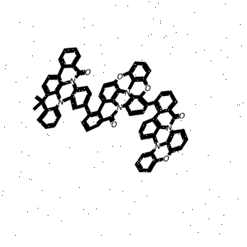 CC1(C)c2ccccc2N2c3cc(-c4cccc5c(=O)n6c7ccc(-c8cccc9c(=O)n%10c%11cccc%12oc%13ccccc%13n(c%13cccc(c89)c%13%10)-c%12%11)c8oc9cccc%10oc%11ccc(c45)c6c%11n(c9%10)-c87)ccc3-n3c(=O)c4ccccc4c4ccc1c2c43